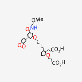 COCCNC(=O)c1cc(OCCCCCCc2cccc(OCCCC(=O)O)c2CCC(=O)O)cc(-c2ccc3c(c2)OCO3)c1